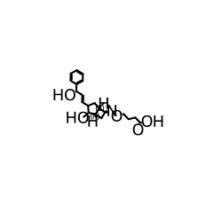 O=C(O)CCCON=C1C[C@H]2C(O)C(C=CC(O)c3ccccc3)C[C@H]12